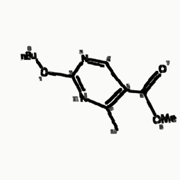 CCCCOc1ncc(C(=O)OC)c(C)n1